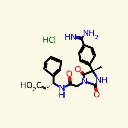 C[C@@]1(c2ccc(C(=N)N)cc2)NC(=O)N(CC(=O)N[C@H](CC(=O)O)c2ccccc2)C1=O.Cl